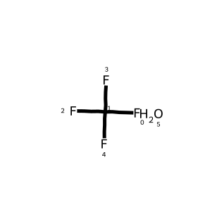 FC(F)(F)F.O